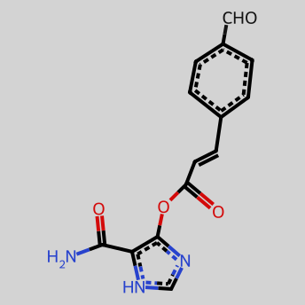 NC(=O)c1[nH]cnc1OC(=O)/C=C/c1ccc(C=O)cc1